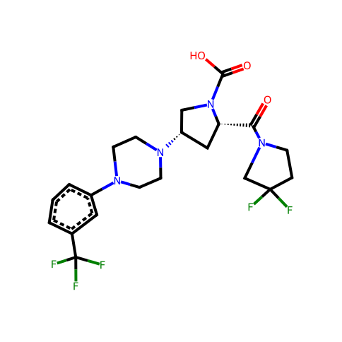 O=C([C@@H]1C[C@H](N2CCN(c3cccc(C(F)(F)F)c3)CC2)CN1C(=O)O)N1CCC(F)(F)C1